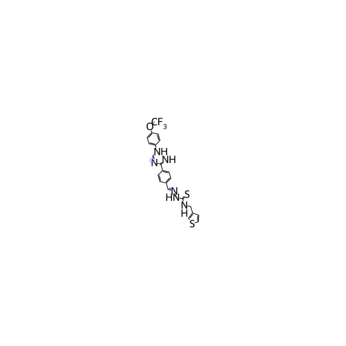 N=C(/N=C\Nc1ccc(OC(F)(F)F)cc1)c1ccc(/C=N/NC(=S)NCc2ccsc2)cc1